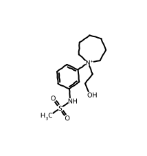 CS(=O)(=O)Nc1cccc([N+]2(CCO)CCCCCC2)c1